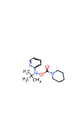 CC(C)(C)N(OC(=O)N1CCCCC1)c1ccccn1